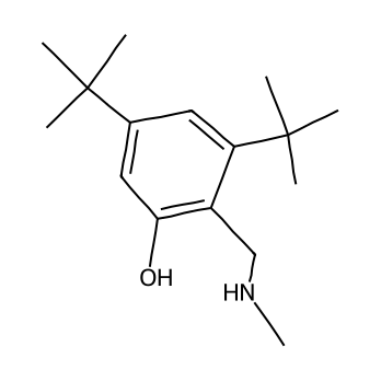 CNCc1c(O)cc(C(C)(C)C)cc1C(C)(C)C